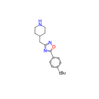 CC(C)(C)c1ccc(-c2nc(CC3CCNCC3)no2)cc1